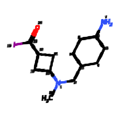 CN(CC1CCC(N)CC1)C1CC(C(=O)I)C1